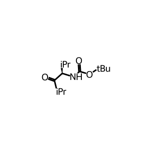 CC(C)C(=O)[C@H](NC(=O)OC(C)(C)C)C(C)C